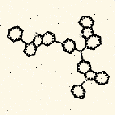 c1ccc(-c2cccc3c2oc2ccc(-c4ccc(N(c5ccc6c(c5)c5ccccc5n6-c5ccccc5)c5cccc6c5sc5ccccc56)cc4)cc23)cc1